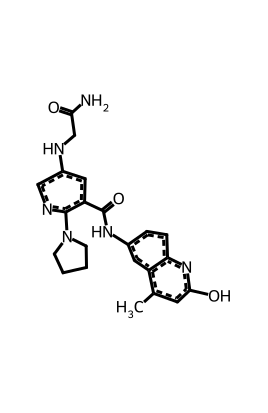 Cc1cc(O)nc2ccc(NC(=O)c3cc(NCC(N)=O)cnc3N3CCCC3)cc12